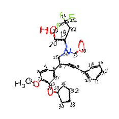 COc1ccc(C(C#Cc2ccccc2)CN(C=O)C(CO)CC(F)(F)F)cc1OC1CCCC1